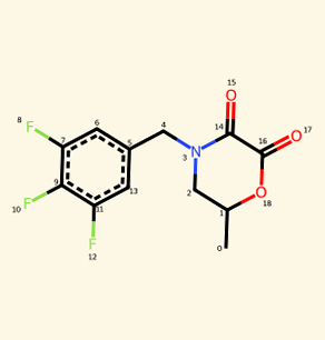 CC1CN(Cc2cc(F)c(F)c(F)c2)C(=O)C(=O)O1